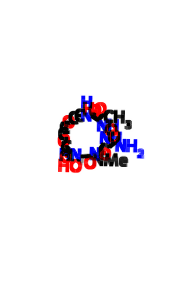 CNN1C(=O)[C@H](CO)NC(=O)COCCOCCNC(=O)C(C(C)O)NC(=O)N[C@@H](CC(N)=O)C1=O